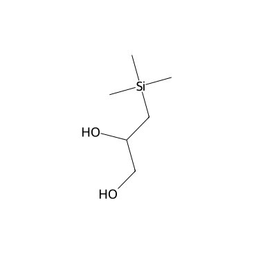 C[Si](C)(C)CC(O)CO